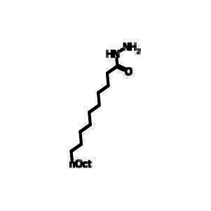 CCCCCCCCCCCCCCCCCC(=O)NN